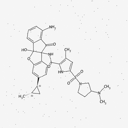 Cc1cc(S(=O)(=O)N2CCC(N(C)C)C2)[nH]c1C(=O)NC12C(=O)c3c(N)cccc3C1(O)Oc1cc([C@H]3C[C@@H]3C)ccc12